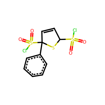 O=S(=O)(Cl)C1C=CC(c2ccccc2)(S(=O)(=O)Cl)S1